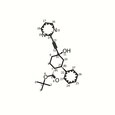 CC(C)(C)OC(=O)[C@@H]1CC[C@](O)(C#Cc2ncccn2)C[C@H]1c1ccccc1